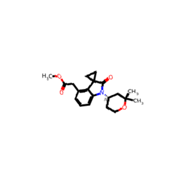 COC(=O)Cc1cccc2c1C1(CC1)C(=O)N2[C@H]1CCOC(C)(C)C1